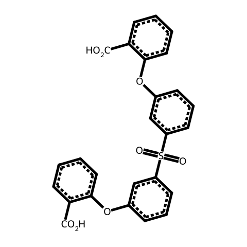 O=C(O)c1ccccc1Oc1cccc(S(=O)(=O)c2cccc(Oc3ccccc3C(=O)O)c2)c1